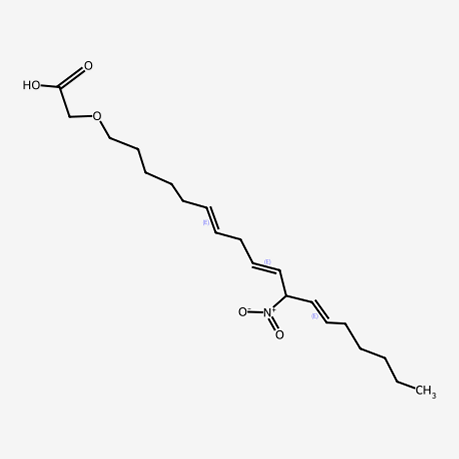 CCCCC/C=C/C(/C=C/C/C=C/CCCCCOCC(=O)O)[N+](=O)[O-]